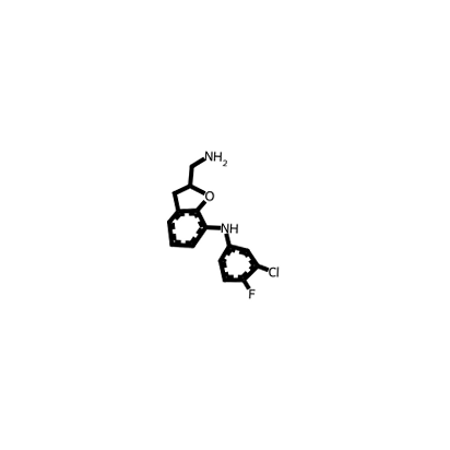 NCC1Cc2cccc(Nc3ccc(F)c(Cl)c3)c2O1